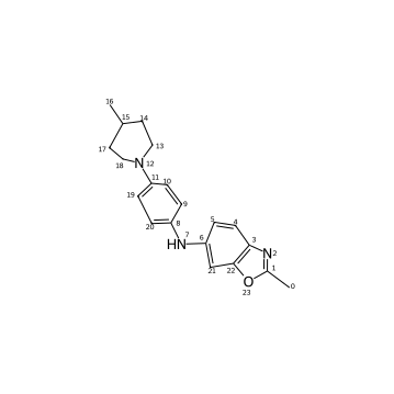 Cc1nc2ccc(Nc3ccc(N4CCC(C)CC4)cc3)cc2o1